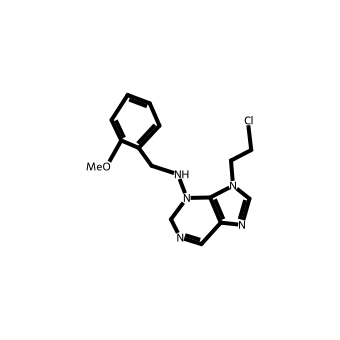 COc1ccccc1CNN1CN=Cc2ncn(CCCl)c21